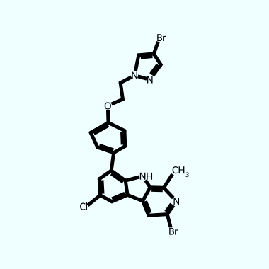 Cc1nc(Br)cc2c1[nH]c1c(-c3ccc(OCCn4cc(Br)cn4)cc3)cc(Cl)cc12